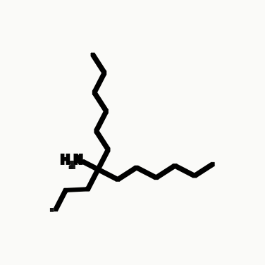 [CH2]CCC(N)(CCCCCC)CCCCCC